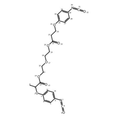 CC(Oc1ccc(N=C=O)cc1)C(=O)OCCOCCOC(=O)CCOc1ccc(N=C=O)cc1